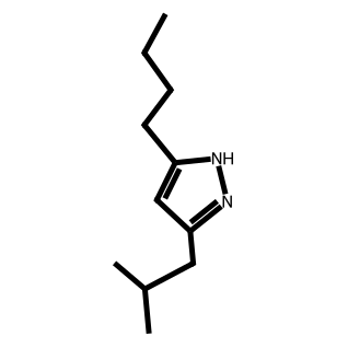 CCCCc1cc(CC(C)C)n[nH]1